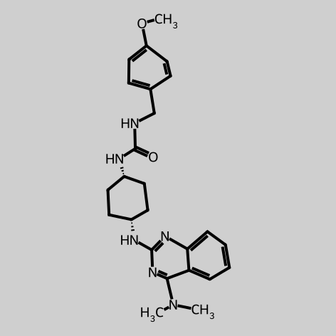 COc1ccc(CNC(=O)N[C@H]2CC[C@@H](Nc3nc(N(C)C)c4ccccc4n3)CC2)cc1